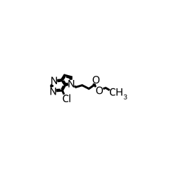 CCOC(=O)CCCn1ccc2ncnc(Cl)c21